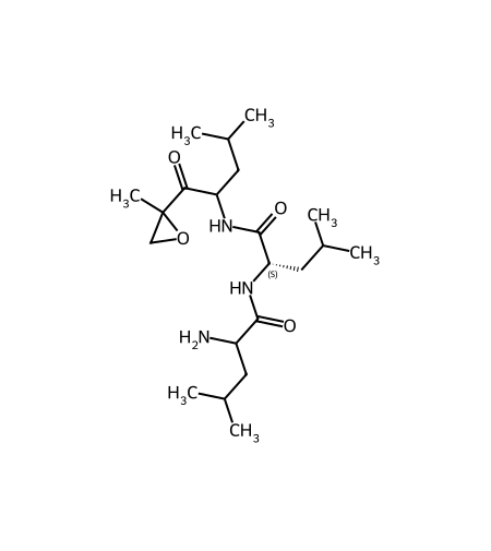 CC(C)CC(N)C(=O)N[C@@H](CC(C)C)C(=O)NC(CC(C)C)C(=O)C1(C)CO1